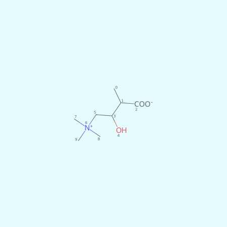 CC(C(=O)[O-])C(O)C[N+](C)(C)C